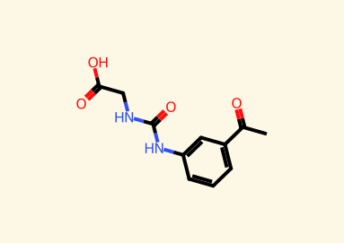 CC(=O)c1cccc(NC(=O)NCC(=O)O)c1